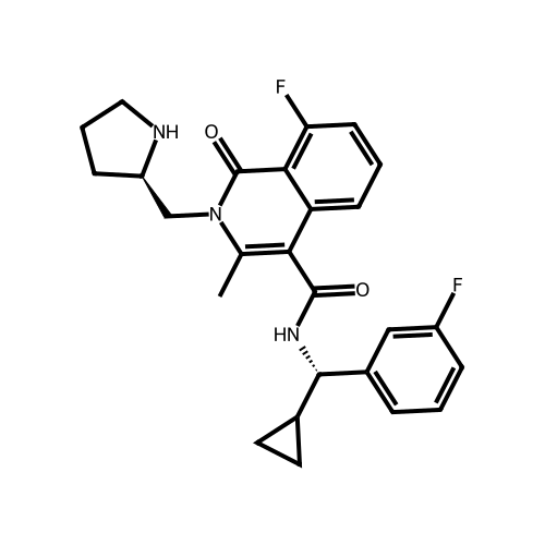 Cc1c(C(=O)N[C@H](c2cccc(F)c2)C2CC2)c2cccc(F)c2c(=O)n1C[C@H]1CCCN1